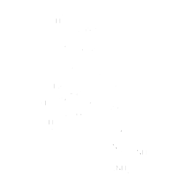 N=C(N)NCCOc1ccc2c(c1)CCC(CC(=O)O)C2.O=C(O)C(F)(F)F